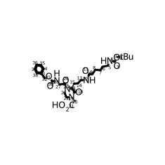 CC(C)(C)OC(=O)NCCCCCC(=O)NCCC[C@H]1C(=O)N(CC(=O)O)CCN1C(=O)CNC(=O)OCc1ccccc1